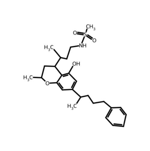 CC1CC(C(C)CCNS(C)(=O)=O)c2c(O)cc(C(C)CCCc3ccccc3)cc2O1